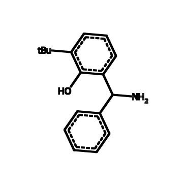 CC(C)(C)c1cccc(C(N)c2ccccc2)c1O